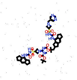 CN(C(=O)OC(C)(C)C)/C(=N\C(=O)OC(C)(C)CC1Cc2cc3c(c(NC(=O)NS(=O)(=O)C4CN(Cc5cncnc5)C4)c2C1)CCC3)N1CC(S(=O)(=O)NC(=O)Nc2c3c(cc4c2CCC4)CCC3)C1